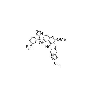 COc1nc2ccc(C(O)(c3ccnc(C(F)(F)F)c3)c3cncn3C)cc2c(C#N)c1CN1CCn2nc(C(F)(F)F)nc2C1